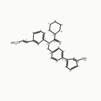 O=C(O)/C=C/c1cccc(N(Cc2ccc(-c3cccc(O)c3)cc2)C(=O)C2CCCCC2)c1